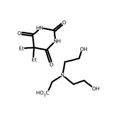 CCC1(CC)C(=O)NC(=O)NC1=O.O=C(O)CN(CCO)CCO